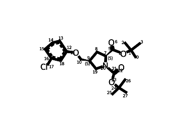 CC(C)(C)OC(=O)[C@@H]1C[C@H](COc2cccc(Cl)c2)CN1C(=O)OC(C)(C)C